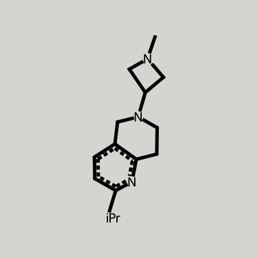 CC(C)c1ccc2c(n1)CCN(C1CN(C)C1)C2